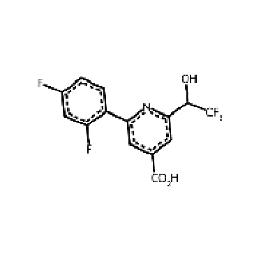 O=C(O)c1cc(-c2ccc(F)cc2F)nc(C(O)C(F)(F)F)c1